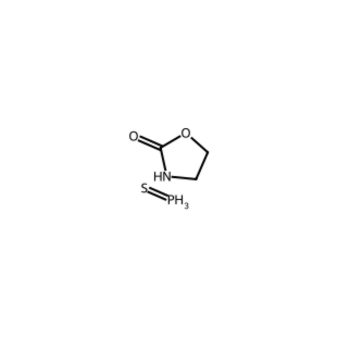 O=C1NCCO1.[PH3]=S